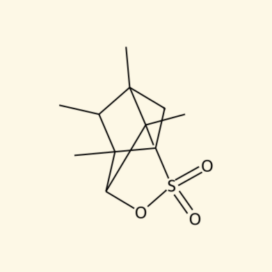 CC1C2(C)C3OS(=O)(=O)C2CC1(C)C3(C)C